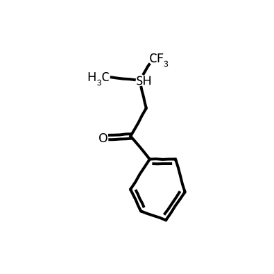 C[SH](CC(=O)c1ccccc1)C(F)(F)F